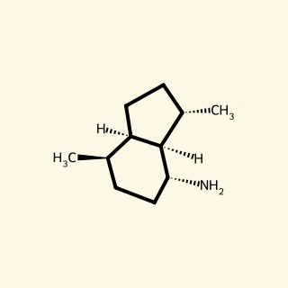 C[C@@H]1CC[C@@H](N)[C@H]2[C@@H]1CC[C@@H]2C